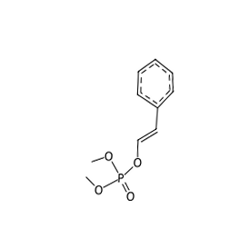 COP(=O)(OC)OC=Cc1ccccc1